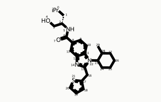 CC(C)C[C@@H](CO)NC(=O)c1ccc2c(c1)nc(Cc1cccs1)n2C1CCCCC1C